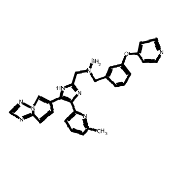 BN(Cc1cccc(Oc2ccncc2)c1)Cc1nc(-c2cccc(C)n2)c(-c2ccc3ncnn3c2)[nH]1